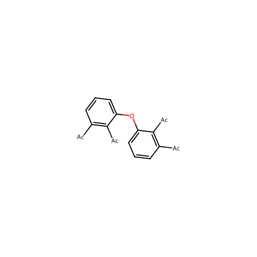 CC(=O)c1cccc(Oc2cccc(C(C)=O)c2C(C)=O)c1C(C)=O